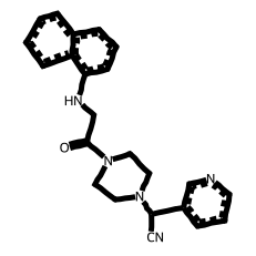 N#CC(c1cccnc1)N1CCN(C(=O)CNc2cccc3ccccc23)CC1